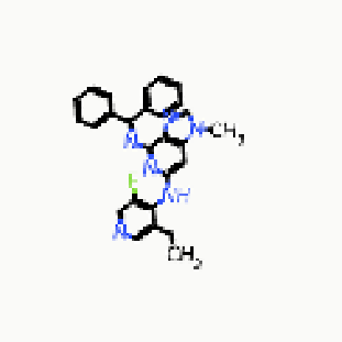 CCc1cncc(F)c1Nc1cc2c(ncn2C)c(N=C(c2ccccc2)c2ccccc2)n1